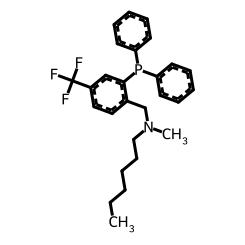 CCCCCCN(C)Cc1ccc(C(F)(F)F)cc1P(c1ccccc1)c1ccccc1